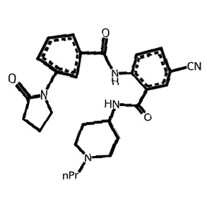 CCCN1CCC(NC(=O)c2cc(C#N)ccc2NC(=O)c2cccc(N3CCCC3=O)c2)CC1